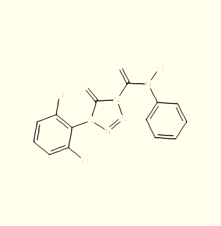 CCCN(C(=O)n1nnn(-c2c(Cl)cccc2Cl)c1=O)c1ccccc1